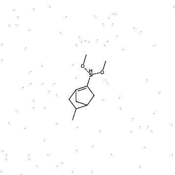 CO[SiH](OC)C1=C2CC(C)C(C2)C1